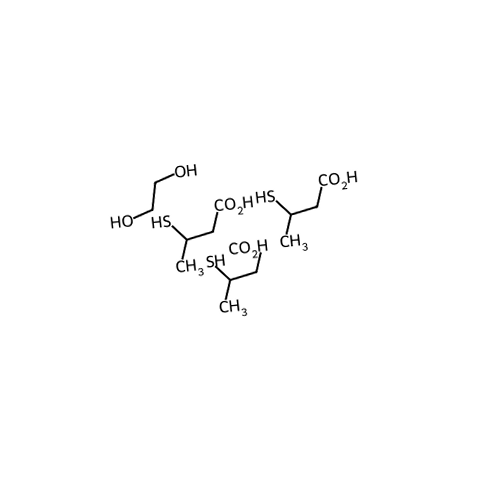 CC(S)CC(=O)O.CC(S)CC(=O)O.CC(S)CC(=O)O.OCCO